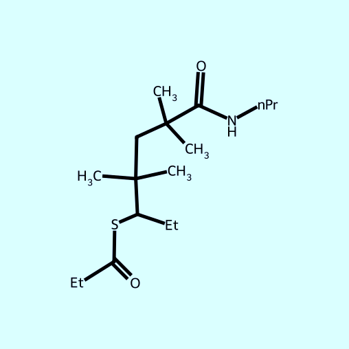 CCCNC(=O)C(C)(C)CC(C)(C)C(CC)SC(=O)CC